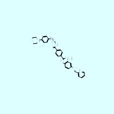 O=C(N=[N+]=Nc1ccc(N2CCOCC2)cc1)c1ccc(-c2nc3ccc(OCc4ccccn4)cc3[nH]2)cc1